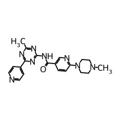 Cc1nc(NC(=O)c2ccc(N3CCN(C)CC3)nc2)nc(-c2ccncc2)n1